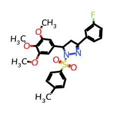 COc1cc(C2CC(c3cccc(F)c3)=NN2S(=O)(=O)c2ccc(C)cc2)cc(OC)c1OC